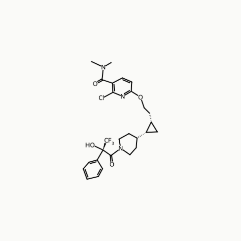 CN(C)C(=O)c1ccc(OCC[C@@H]2C[C@@H]2C2CCN(C(=O)[C@@](O)(c3ccccc3)C(F)(F)F)CC2)nc1Cl